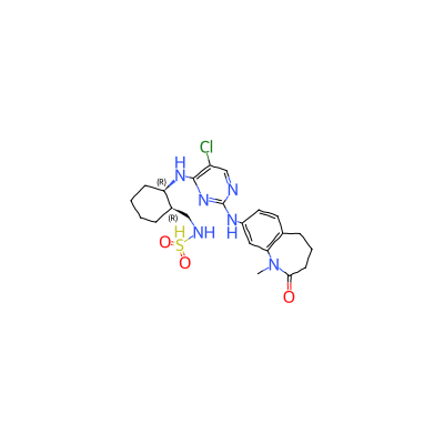 CN1C(=O)CCCc2ccc(Nc3ncc(Cl)c(N[C@@H]4CCCC[C@@H]4CN[SH](=O)=O)n3)cc21